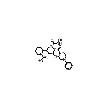 CN1C[C@@H](C2CCCCN2C(=O)O)C[C@H](C(=O)NO)[C@H]1C(=O)N1CCN(c2ccccc2)CC1